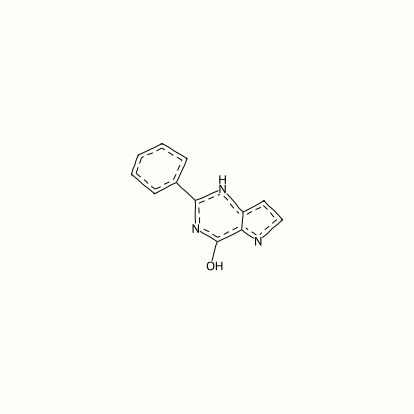 Oc1nc(-c2ccccc2)[nH]c2ccnc1-2